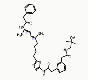 CC(C)(O)CNC(=O)Cc1cccc(CC(=O)Nc2nnc(CCCC/C(N)=C/C=C(\N)NC(=O)Cc3ccccc3)s2)c1